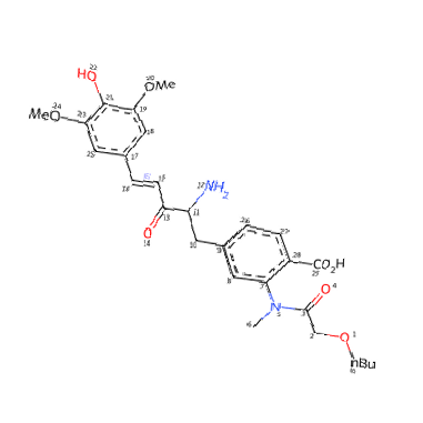 CCCCOCC(=O)N(C)c1cc(CC(N)C(=O)/C=C/c2cc(OC)c(O)c(OC)c2)ccc1C(=O)O